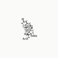 CO[C@]1(C(=O)COC(C)=O)CC[C@H]2[C@@H]3CCC4=CC(=O)CC[C@]4(C)[C@H]3CC[C@@]21C